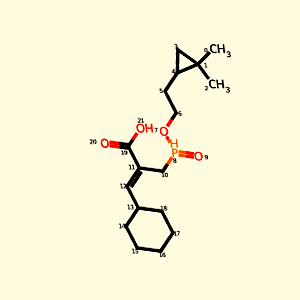 CC1(C)CC1CCO[PH](=O)CC(=CC1CCCCC1)C(=O)O